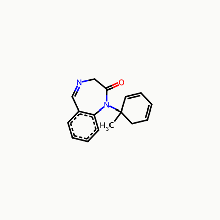 CC1(N2C(=O)CN=Cc3ccccc32)C=CC=CC1